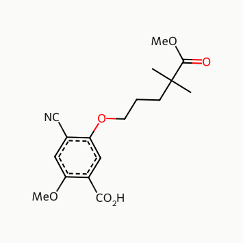 COC(=O)C(C)(C)CCCOc1cc(C(=O)O)c(OC)cc1C#N